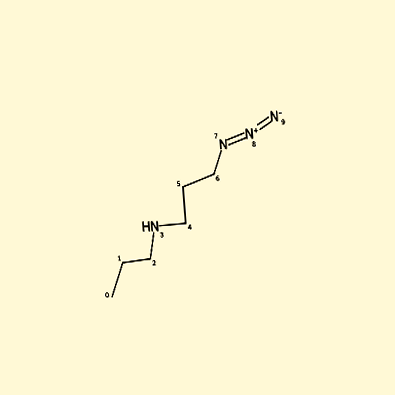 CCCNCCCN=[N+]=[N-]